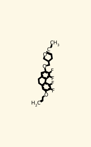 C=CCOc1cc2c(c(F)c1F)-c1c(cc(OCC3CC=C(CCC)OC3)c(F)c1F)CC2